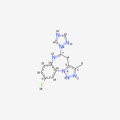 Cc1nnn2c1CC(n1cncn1)=Nc1ccc(F)cc1-2